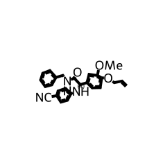 C=CCOc1ccc([C@@H](Nc2ccc(C#N)cc2)C(=O)NCc2ccccc2)cc1OC